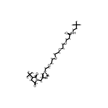 CC(C)(C)CCNC(=O)CCOCCOCCOCCOCCn1cc(CN2C(=O)CC(C(C)(C)C)C2=O)nn1